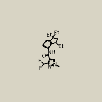 CCC1CC(CC)(CC)c2cccc(NC(=O)c3cn(C)nc3C(F)F)c21